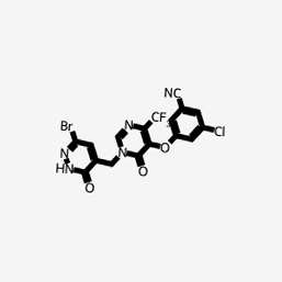 N#Cc1cc(Cl)cc(Oc2c(C(F)(F)F)ncn(Cc3cc(Br)n[nH]c3=O)c2=O)c1